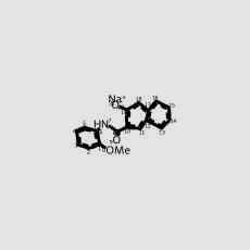 COc1ccccc1NC(=O)c1cc2ccccc2cc1[O-].[Na+]